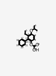 CCc1c(OC(C)C)ccc(OC(=O)O)c1-c1ccccc1